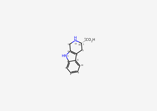 O=C(O)[C@@H]1Cc2c([nH]c3ccccc23)CN1